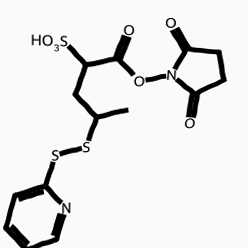 CC(CC(C(=O)ON1C(=O)CCC1=O)S(=O)(=O)O)SSc1ccccn1